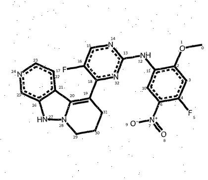 COc1cc(F)c([N+](=O)[O-])cc1Nc1ncc(F)c(C2=C3c4ccncc4NN3CCC2)n1